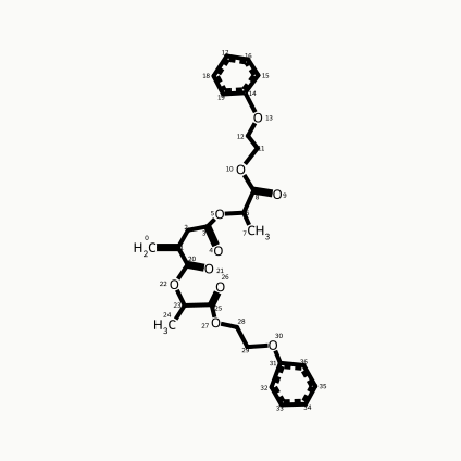 C=C(CC(=O)OC(C)C(=O)OCCOc1ccccc1)C(=O)OC(C)C(=O)OCCOc1ccccc1